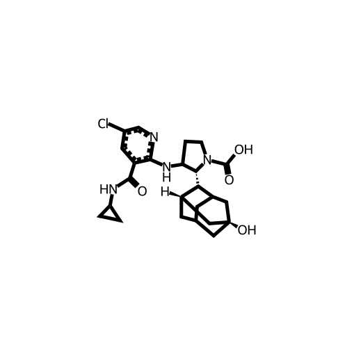 O=C(NC1CC1)c1cc(Cl)cnc1NC1CCN(C(=O)O)[C@@H]1C1C2CC3C[C@H]1C[C@@](O)(C3)C2